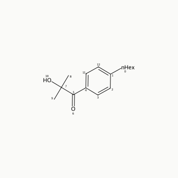 CCCCCCc1ccc(C(=O)C(C)(C)O)cc1